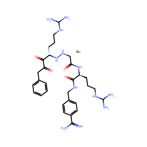 CC[C@H](C)C(NN[C@@H](CCCNC(N)N)C(=O)C(=O)Cc1ccccc1)C(=O)N[C@@H](CCCNC(N)N)C(=O)NCc1ccc(C(=N)N)cc1